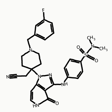 CN(C)S(=O)(=O)c1ccc(Nc2nn(C3(CC#N)CCN(Cc4cccc(F)c4)CC3)c3cc[nH]c(=O)c23)cc1